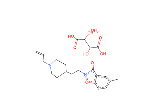 C=CCN1CCC(CCn2oc3ccc(C)cc3c2=O)CC1.O.O=C(O)C(O)C(O)C(=O)O